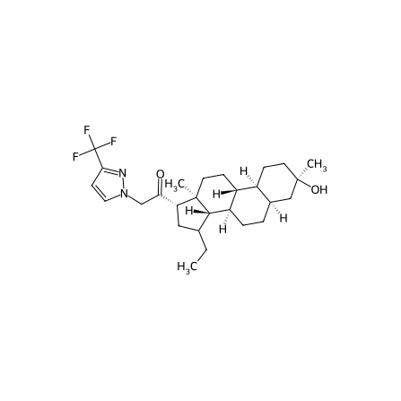 CCC1C[C@H](C(=O)Cn2ccc(C(F)(F)F)n2)[C@@]2(C)CC[C@H]3[C@@H](CC[C@@H]4C[C@](C)(O)CC[C@@H]43)[C@H]12